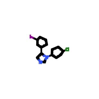 Clc1ccc(-n2cncc2-c2cccc(I)c2)cc1